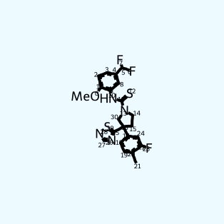 COc1ccc(C(F)F)cc1NC(=S)N1CCC(c2ccc(C)c(F)c2)(c2ncns2)C1